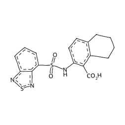 O=C(O)c1c(NS(=O)(=O)c2cccc3nsnc23)ccc2c1CCCC2